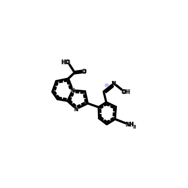 Nc1ccc(-c2cn3c(C(=O)O)cccc3n2)c(/C=N\O)c1